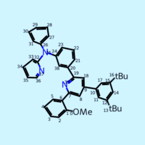 COc1ccccc1-c1cc(-c2cc(C(C)(C)C)cc(C(C)(C)C)c2)cc(-c2cccc(N(c3ccccc3)c3ccccn3)c2)n1